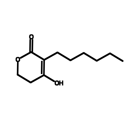 CCCCCCC1=C(O)CCOC1=O